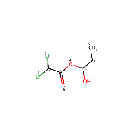 CCC(O)OC(=O)C(Cl)Cl